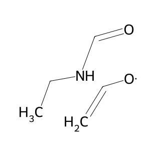 C=C[O].CCNC=O